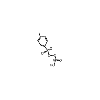 Cc1ccc(S(=O)(=O)OO[PH](=O)O)cc1